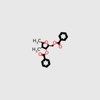 C[C@H]1[C@@H](OC(=O)c2ccccc2)[C@H](COC(=O)c2ccccc2)O[C@@H]1C